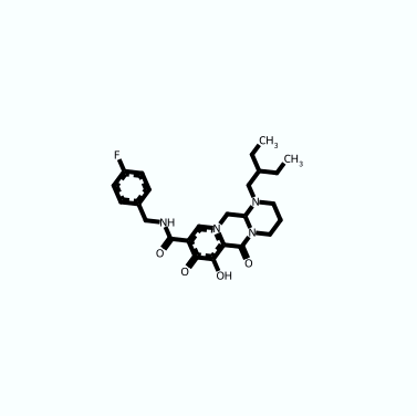 CCC(CC)CN1CCCN2C(=O)c3c(O)c(=O)c(C(=O)NCc4ccc(F)cc4)cn3CC12